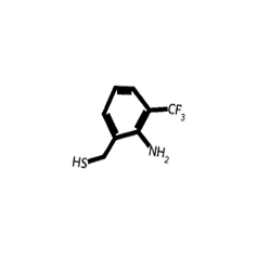 Nc1c(CS)cccc1C(F)(F)F